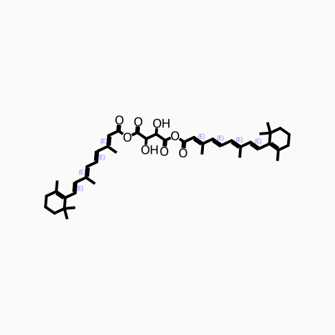 CC1=C(/C=C/C(C)=C/C=C/C(C)=C/C(=O)OC(=O)C(O)C(O)C(=O)OC(=O)/C=C(C)/C=C/C=C(C)/C=C/C2=C(C)CCCC2(C)C)C(C)(C)CCC1